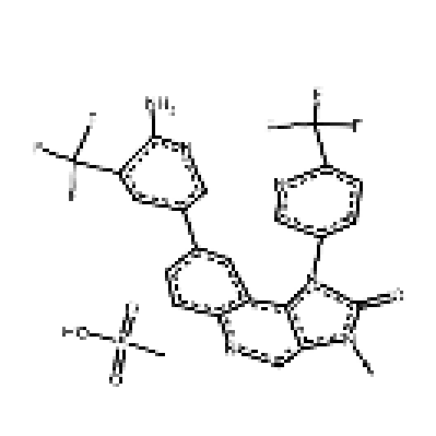 CS(=O)(=O)O.Cn1c(=O)n(-c2ccc(C(F)(F)F)nc2)c2c3cc(-c4cnc(N)c(C(F)(F)F)c4)ccc3ncc21